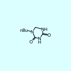 CCCCN1CNC(=O)NC1=O